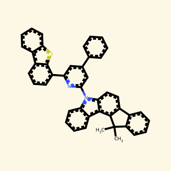 CC1(C)c2ccccc2-c2ccc3c(c21)c1ccccc1n3-c1cc(-c2ccccc2)cc(-c2cccc3c2sc2ccccc23)n1